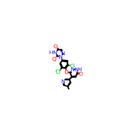 Cc1cncc(-c2cc(=O)[nH]nc2Oc2c(Cl)cc(-n3ncc(=O)[nH]c3=O)cc2Cl)c1